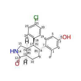 Cc1cc(O)ccc1[C@@H]1CC[C@H]2C(=O)NC[C@H]2[C@H]1c1ccc(Cl)cc1